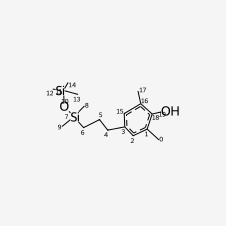 Cc1cc(CCC[Si](C)(C)O[Si](C)(C)C)cc(C)c1O